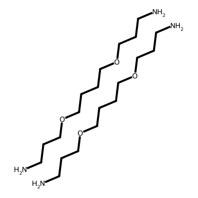 NCCCOCCCCOCCCN.NCCCOCCCCOCCCN